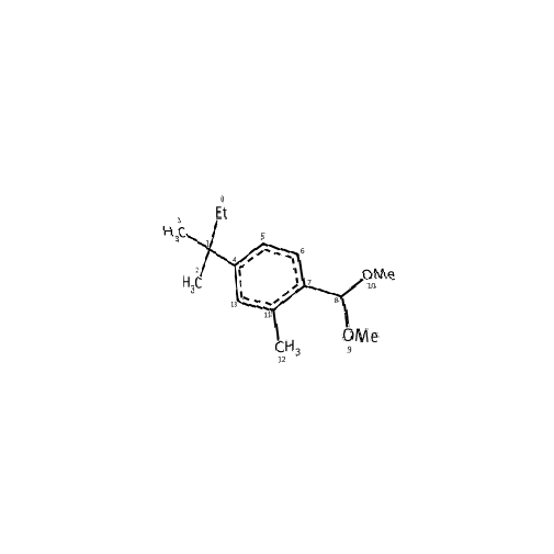 CCC(C)(C)c1ccc(C(OC)OC)c(C)c1